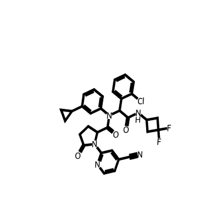 N#Cc1ccnc(N2C(=O)CCC2C(=O)N(c2cccc(C3CC3)c2)C(C(=O)NC2CC(F)(F)C2)c2ccccc2Cl)c1